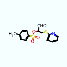 Cc1ccc(S(=O)(=O)OC([C]=O)CSc2ccccn2)cc1